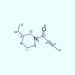 CC#CC(=O)N1CCCC(CC)C1